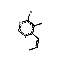 C/C=C\c1ncnc(O)c1C